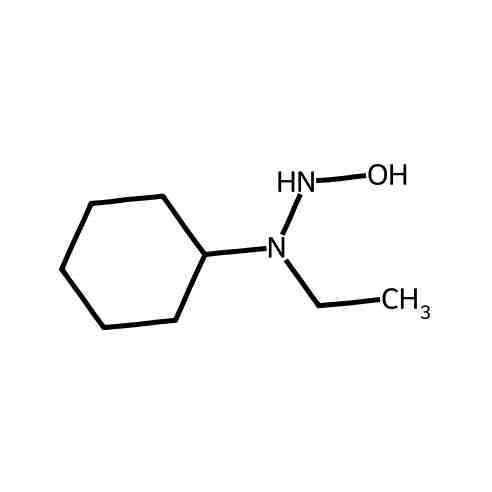 CCN(NO)C1CCCCC1